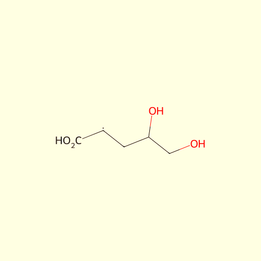 O=C(O)[CH]CC(O)CO